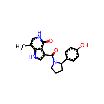 Cc1c[nH]c(=O)c2c(C(=O)N3CCCC3c3ccc(O)cc3)c[nH]c12